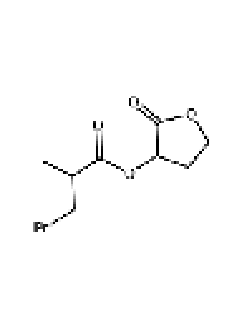 CC(C)CC(C)C(=O)OC1CCOC1=O